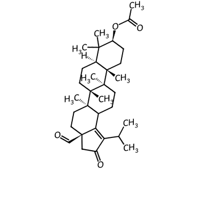 CC(=O)O[C@H]1CC[C@@]2(C)[C@@H](CC[C@]3(C)[C@]2(C)CCC2C4=C(C(C)C)C(=O)C[C@]4(C=O)CC[C@]23C)C1(C)C